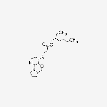 CCCCC(CC)COC(=O)CCSc1ccnc2c1OCC1CCCN21